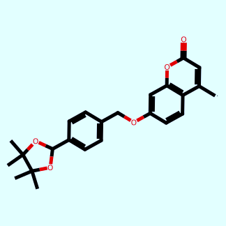 [CH2]c1cc(=O)oc2cc(OCc3ccc(C4OC(C)(C)C(C)(C)O4)cc3)ccc12